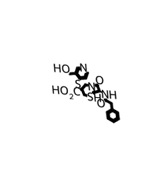 O=C(Cc1ccccc1)N[C@@H]1C(=O)N2CC(Sc3ccncc3CO)(C(=O)O)CS[C@H]12